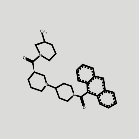 CC1CCCN(C(=O)[C@@H]2CCCN(C3CCN(C(=O)c4c5ccccc5cc5ccccc45)CC3)C2)C1